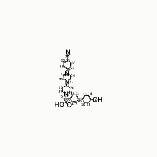 CC(C(=O)O)(c1ccc(-c2ccc(O)cc2)cc1)N1CCC(N2CCN(c3ccc(C#N)cc3)CC2)CC1